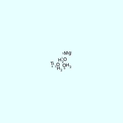 O.O.O.[Mg].[Ti]